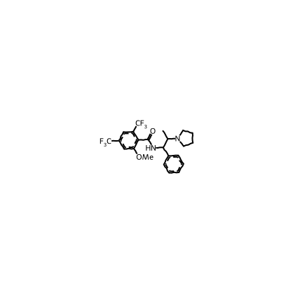 COc1cc(C(F)(F)F)cc(C(F)(F)F)c1C(=O)NC(c1ccccc1)C(C)N1CCCC1